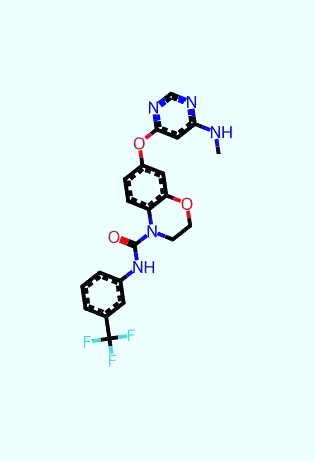 CNc1cc(Oc2ccc3c(c2)OCCN3C(=O)Nc2cccc(C(F)(F)F)c2)ncn1